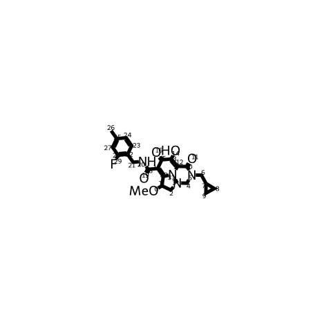 COC1CN2CN(CC3CC3)C(=O)c3c(O)c(=O)c(C(=O)NCc4ccc(C)cc4F)c1n32